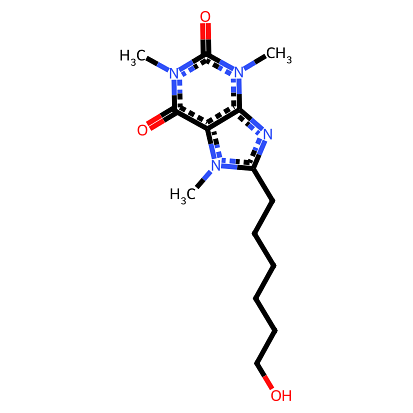 Cn1c(=O)c2c(nc(CCCCCCO)n2C)n(C)c1=O